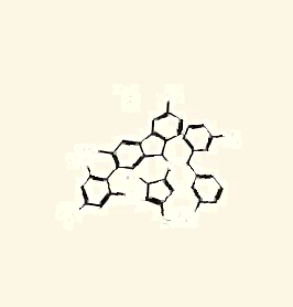 CCCC1C=C(C(C)(C)C)C=[C]1[Zr+2](=[C](c1cccc(C(F)(F)F)c1)c1cccc(C(F)(F)F)c1)[CH]1c2ccc(C(C)(C)C)cc2-c2cc(C(C)(C)C)c(-c3c(C)cc(C)cc3C)cc21.[Cl-].[Cl-]